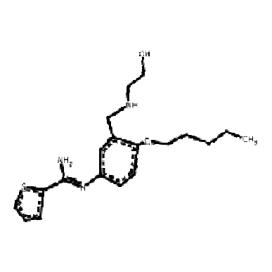 CCCCCOc1ccc(N=C(N)c2cccs2)cc1CNCCO